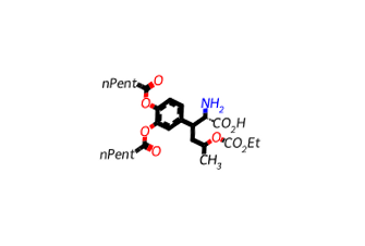 CCCCCC(=O)Oc1ccc(C(CC(C)OC(=O)OCC)[C@H](N)C(=O)O)cc1OC(=O)CCCCC